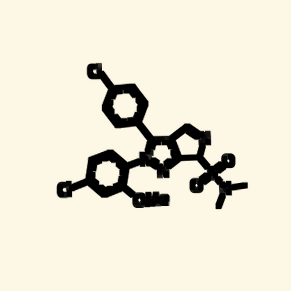 COc1cc(Cl)ccc1-n1nc2c(c1-c1ccc(Cl)cc1)C=NC2S(=O)(=O)N(C)C